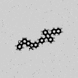 CC1(C)c2ccc(-c3ccc(-c4c5ccccc5c(-c5ccc6ccccc6c5)c5ccccc45)cc3)cc2-c2cc3ccc4oc5ccccc5c4c3cc21